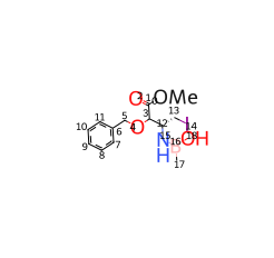 COC(=O)C(OCc1ccccc1)[C@H](CI)NB(C)O